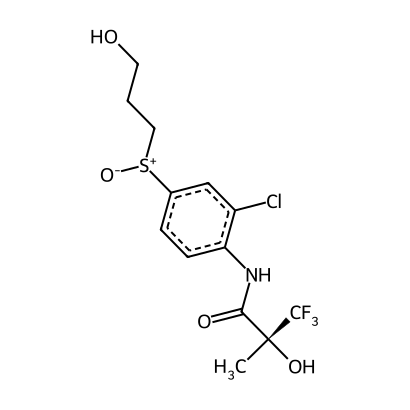 C[C@@](O)(C(=O)Nc1ccc([S+]([O-])CCCO)cc1Cl)C(F)(F)F